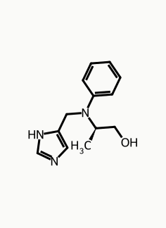 C[C@H](CO)N(Cc1cnc[nH]1)c1ccccc1